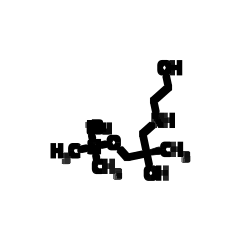 CC(C)(C)[Si](C)(C)OC[C@@](C)(O)CNCCO